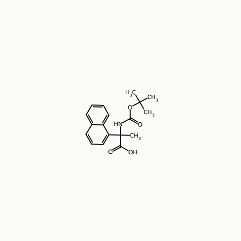 CC(C)(C)OC(=O)NC(C)(C(=O)O)c1cccc2ccccc12